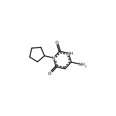 Nc1cc(=O)n(C2CCCC2)c(=O)[nH]1